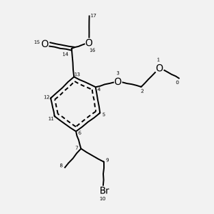 COCOc1cc(C(C)CBr)ccc1C(=O)OC